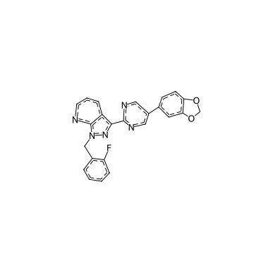 Fc1ccccc1Cn1nc(-c2ncc(-c3ccc4c(c3)OCO4)cn2)c2cccnc21